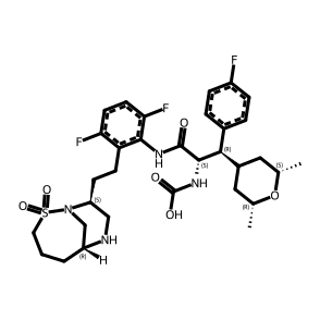 C[C@@H]1CC([C@H](c2ccc(F)cc2)[C@H](NC(=O)O)C(=O)Nc2c(F)ccc(F)c2CC[C@H]2CN[C@@H]3CCCS(=O)(=O)N2C3)C[C@H](C)O1